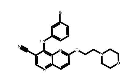 N#Cc1cnc2ccc(OCCN3CCOCC3)nc2c1Nc1cccc(Br)c1